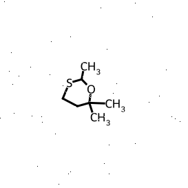 CC1OC(C)(C)CCS1